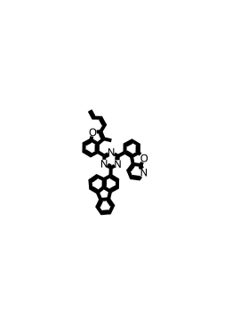 C=C/C=C\c1oc2cccc(-c3nc(-c4ccc5c6c(cccc46)-c4ccccc4-5)nc(-c4cccc5oc6ncccc6c45)n3)c2c1C